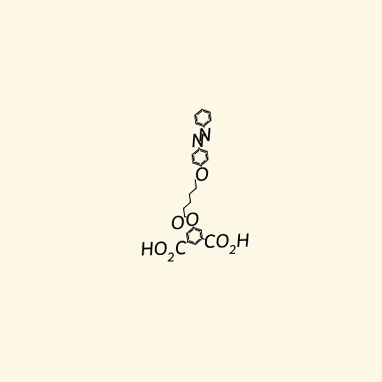 O=C(CCCCCOc1ccc(N=Nc2ccccc2)cc1)Oc1cc(C(=O)O)cc(C(=O)O)c1